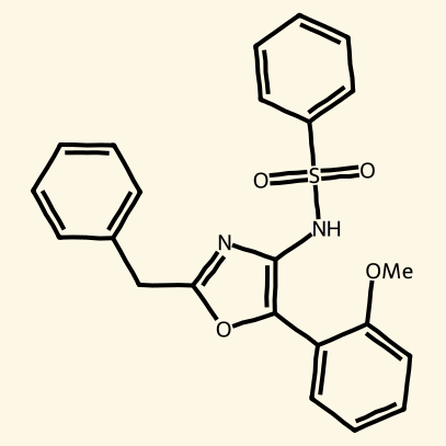 COc1ccccc1-c1oc(Cc2ccccc2)nc1NS(=O)(=O)c1ccccc1